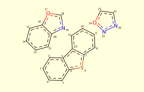 c1ccc2c(c1)sc1ccccc12.c1ccc2ocnc2c1.c1conn1